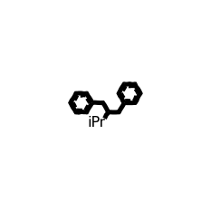 CC(C)C(Cc1ccccc1)Cc1ccccc1